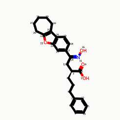 O=C(O)[C@@H](CCCc1ccccc1)CC(=NO)c1ccc2c3c(oc2c1)CCCCC3